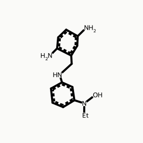 CCN(O)c1cccc(NCc2cc(N)ccc2N)c1